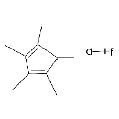 C[C]1C(C)=C(C)C(C)=C1C.[Cl][Hf]